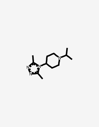 Cc1nnc(C)n1C1CCN(C(C)C)CC1